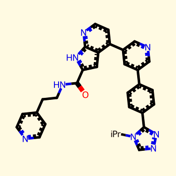 CC(C)n1cnnc1-c1ccc(-c2cncc(-c3ccnc4[nH]c(C(=O)NCCc5ccncc5)cc34)c2)cc1